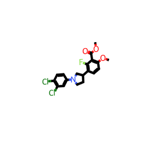 COC(=O)c1c(OC)ccc(C2CCN(c3ccc(Cl)c(Cl)c3)C2)c1F